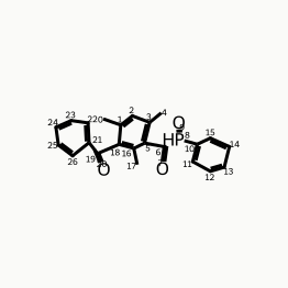 Cc1cc(C)c(C(=O)[PH](=O)c2ccccc2)c(C)c1C(=O)c1ccccc1